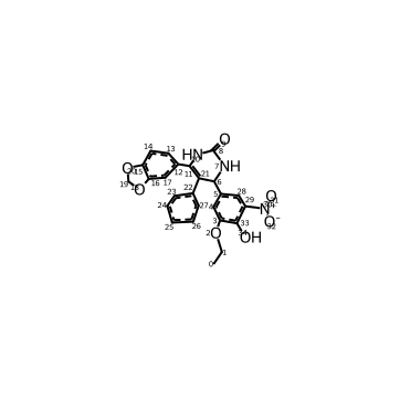 CCOc1cc(C2NC(=O)NC(c3ccc4c(c3)OCO4)=C2c2ccccc2)cc([N+](=O)[O-])c1O